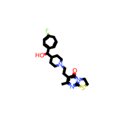 Cc1nc2n(c(=O)c1CCN1CCC(C(O)C3=CC=C(F)CC=C3)CC1)CCS2